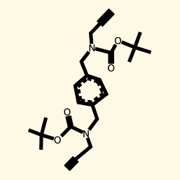 C#CCN(Cc1ccc(CN(CC#C)C(=O)OC(C)(C)C)cc1)C(=O)OC(C)(C)C